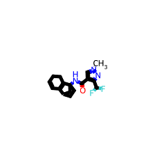 Cn1cc(C(=O)NC23CCC(C2)C2=C3CCC=C2)c(C(F)F)n1